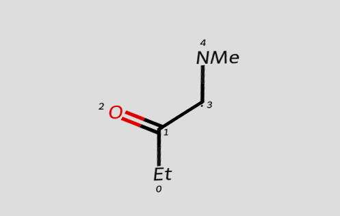 CCC(=O)[CH]NC